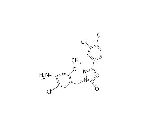 COc1cc(N)c(Cl)cc1Cn1nc(-c2ccc(Cl)c(Cl)c2)oc1=O